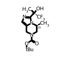 C[C@H]1CN(C(=O)OC(C)(C)C)Cc2cnc([C@@](C)(O)C(F)(F)F)n21